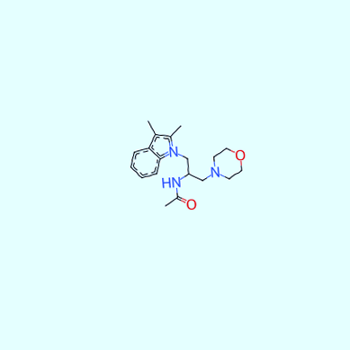 CC(=O)NC(CN1CCOCC1)Cn1c(C)c(C)c2ccccc21